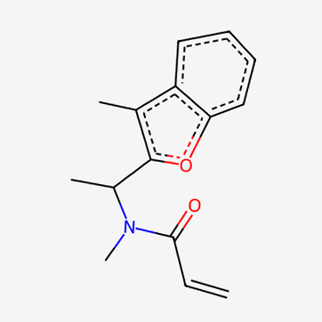 C=CC(=O)N(C)C(C)c1oc2ccccc2c1C